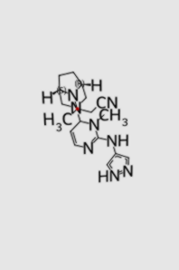 CC(CC#N)N1[C@@H]2CC[C@H]1CN(C1C=CN=C(Nc3cn[nH]c3)N1C)C2